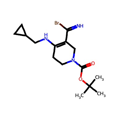 CC(C)(C)OC(=O)N1CCC(NCC2CC2)=C(C(=N)Br)C1